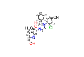 C[C@@](O)(CN1CCN(c2ccc(C#N)cc2Cl)C(c2ccccc2)C1)c1ccc(CO)nc1